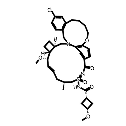 CO[C@H]1/C=C/C[C@H](C)CS(=O)(NC(=O)[C@H]2C[C@@H](OC)C2)=NC(=O)c2ccc3c(c2)N(Cc2ccc(Cl)cc2CCCCO3)C[C@@H]2CC[C@H]21